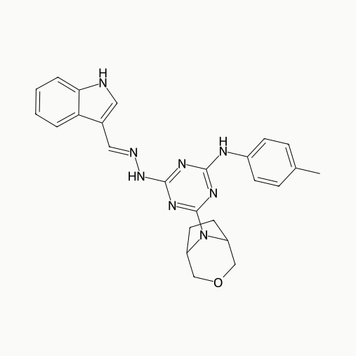 Cc1ccc(Nc2nc(N/N=C/c3c[nH]c4ccccc34)nc(N3C4CCC3COC4)n2)cc1